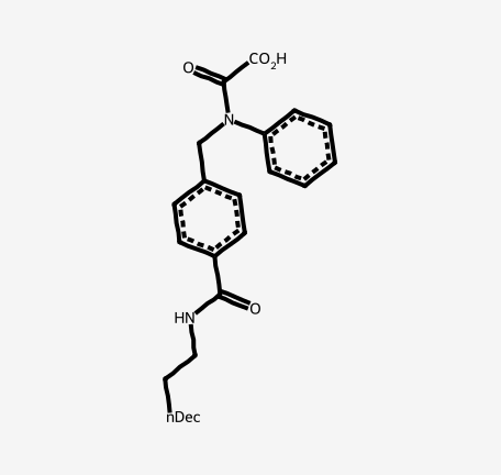 CCCCCCCCCCCCNC(=O)c1ccc(CN(C(=O)C(=O)O)c2ccccc2)cc1